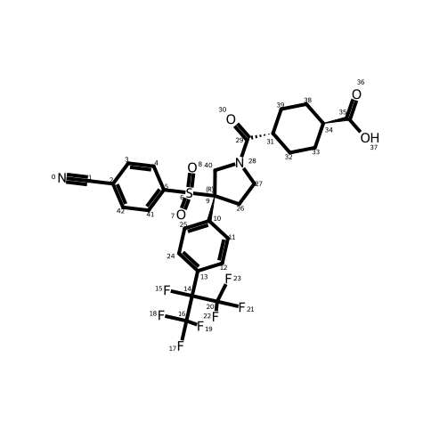 N#Cc1ccc(S(=O)(=O)[C@@]2(c3ccc(C(F)(C(F)(F)F)C(F)(F)F)cc3)CCN(C(=O)[C@H]3CC[C@H](C(=O)O)CC3)C2)cc1